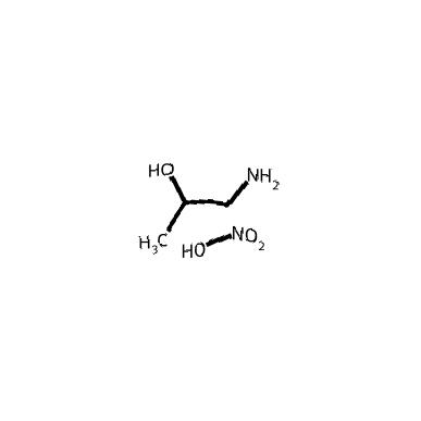 CC(O)CN.O=[N+]([O-])O